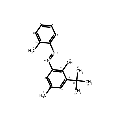 Cc1cc(N=Nc2ccccc2C)c(O)c(C(C)(C)C)c1